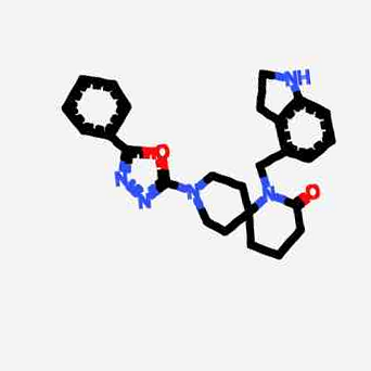 O=C1CCCC2(CCN(c3nnc(-c4ccccc4)o3)CC2)N1Cc1cccc2c1CCN2